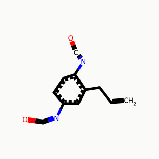 C=CCc1cc(N=C=O)ccc1N=C=O